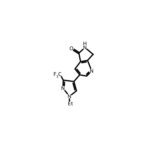 CCn1cc(-c2cnc3c(c2)C(=O)NC3)c(C(F)(F)F)n1